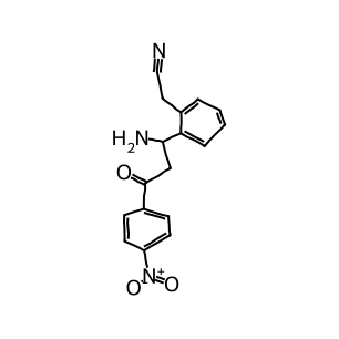 N#CCc1ccccc1C(N)CC(=O)c1ccc([N+](=O)[O-])cc1